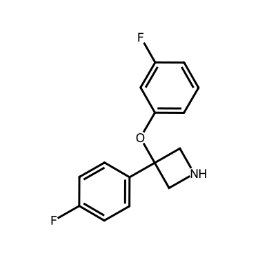 Fc1ccc(C2(Oc3cccc(F)c3)CNC2)cc1